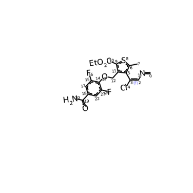 C=N/C=C(/Cl)c1c(C)sc(C(=O)OCC)c1COc1c(F)cc(C(N)=O)cc1F